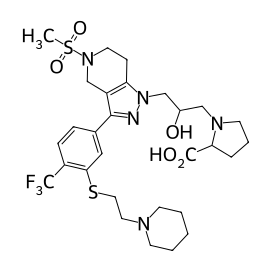 CS(=O)(=O)N1CCc2c(c(-c3ccc(C(F)(F)F)c(SCCN4CCCCC4)c3)nn2CC(O)CN2CCCC2C(=O)O)C1